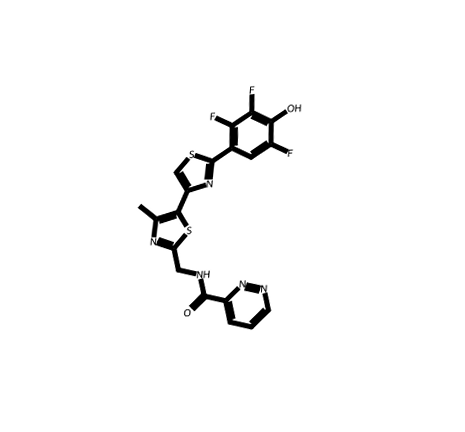 Cc1nc(CNC(=O)c2cccnn2)sc1-c1csc(-c2cc(F)c(O)c(F)c2F)n1